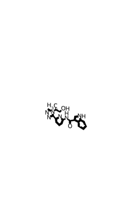 C[C@H](CO)n1cnnc1-c1cccc(NC(=O)c2c[nH]c3ccccc23)n1